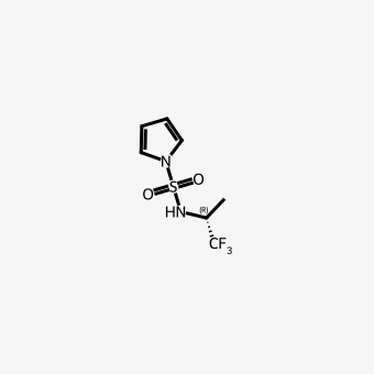 C[C@@H](NS(=O)(=O)n1cccc1)C(F)(F)F